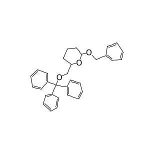 c1ccc(COC2CCCC(COC(c3ccccc3)(c3ccccc3)c3ccccc3)O2)cc1